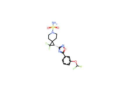 NS(=O)(=O)N1CCC2(CC1)[C@H](c1noc(-c3cccc(OC(F)F)c3)n1)C2(F)F